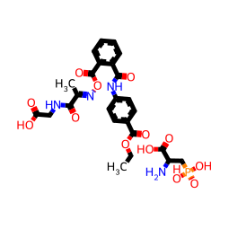 CCOC(=O)c1ccc(NC(=O)c2ccccc2C(=O)ON=C(C)C(=O)NCC(=O)O)cc1.NC(CP(=O)(O)O)C(=O)O